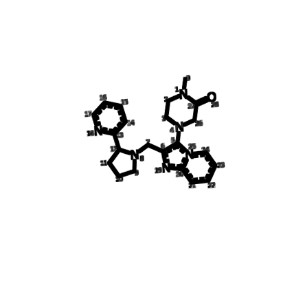 CN1CCN(c2c(CN3CCCC3c3ccccn3)nc3ccccn23)CC1=O